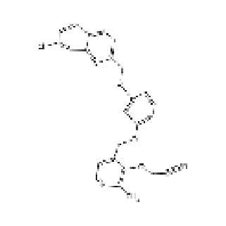 Cc1cccc(COc2cccc(OCc3ccc4ccc(Cl)cc4n3)c2)c1OCC#N